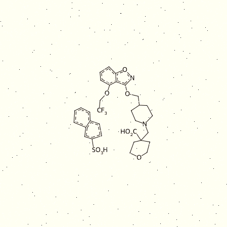 O=C(O)C1(CN2CCC(COc3noc4cccc(OCC(F)(F)F)c34)CC2)CCOCC1.O=S(=O)(O)c1ccc2ccccc2c1